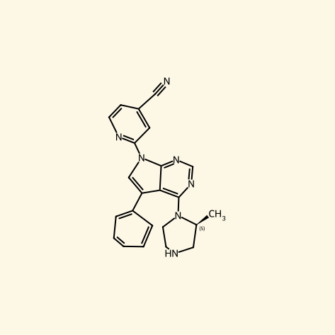 C[C@H]1CNCCN1c1ncnc2c1c(-c1ccccc1)cn2-c1cc(C#N)ccn1